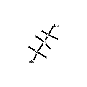 CCC(C)[Si](I)(I)[Si](I)(I)[Si](I)(I)C(C)CC